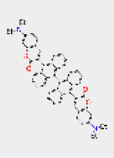 CCN(CC)c1ccc2cc(-c3c4ccccc4c(-c4c5ccccc5c(-c5cc6ccc(N(CC)CC)cc6oc5=O)c5ccccc45)c4ccccc34)c(=O)oc2c1